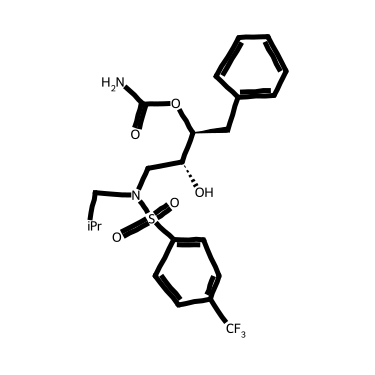 CC(C)CN(C[C@@H](O)[C@H](Cc1ccccc1)OC(N)=O)S(=O)(=O)c1ccc(C(F)(F)F)cc1